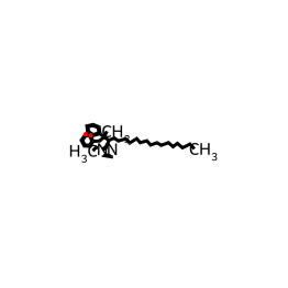 CCCCCCCCCCCCCCCCC(c1nccn1CC)C(C)(Cc1ccccc1)c1ccccc1